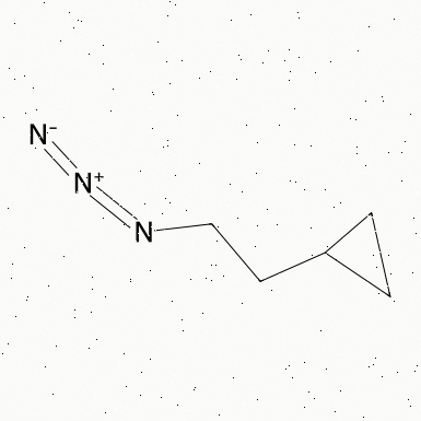 [N-]=[N+]=NCCC1CC1